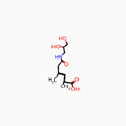 CC(CC(=O)NCC(O)CO)CC(C)C(=O)O